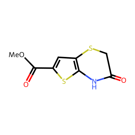 COC(=O)c1cc2c(s1)NC(=O)CS2